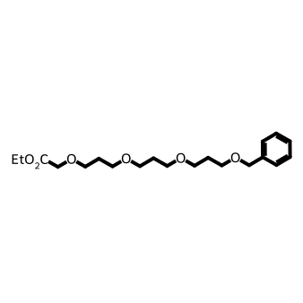 CCOC(=O)COCCCOCCCOCCCOCc1ccccc1